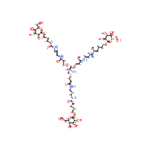 NC(COCCC(=O)NCCCNC(=O)CCCCOC1OC(CO)C(O)C(O)C1O)(COCCC(=O)NCCCNC(=O)CCCCOC1OC(CO)C(O)C(O)C1O)COCCC(=O)NCCCNC(=O)CCCCOC1OC(CO)C(O)C(O)C1O